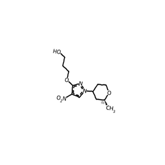 C[C@H]1CC(n2cc([N+](=O)[O-])c(OCCCO)n2)CCO1